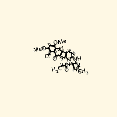 C=CC(=O)Nc1cn(C)nc1Nc1ncc2cc(C(=O)c3c(Cl)c(OC)cc(OC)c3Cl)sc2n1